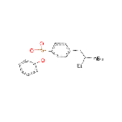 CCCCC(CC)Cc1ccc(S(=O)(=O)Oc2ccccc2)cc1